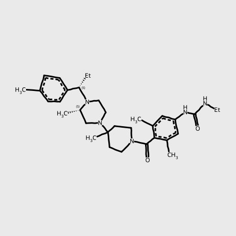 CCNC(=O)Nc1cc(C)c(C(=O)N2CCC(C)(N3CCN([C@@H](CC)c4ccc(C)cc4)[C@@H](C)C3)CC2)c(C)c1